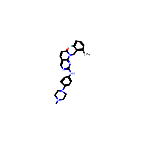 CSc1cccc(F)c1Cn1c(=O)ccc2cnc(Nc3ccc(N4CCN(C)CC4)cc3)nc21